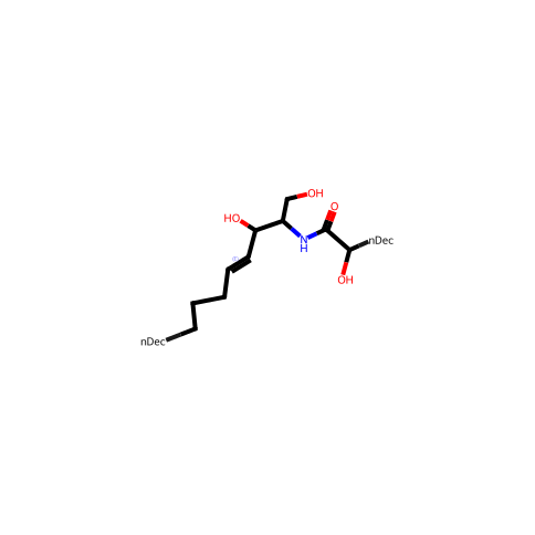 CCCCCCCCCCCCC/C=C/C(O)C(CO)NC(=O)C(O)CCCCCCCCCC